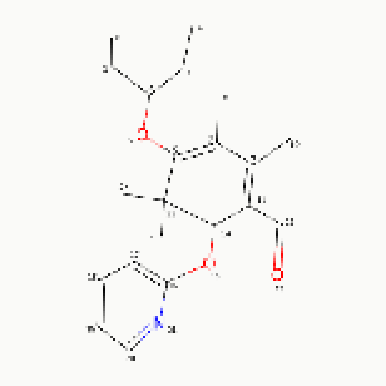 CCC(CC)OC1=C(C)C(C)=C(C=O)C(Oc2ccccn2)C1(C)C